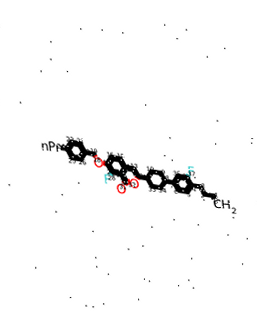 C=CCCc1ccc(C2CCC(c3cc4ccc(OCc5ccc(CCC)cc5)c(F)c4c(=O)o3)CC2)cc1F